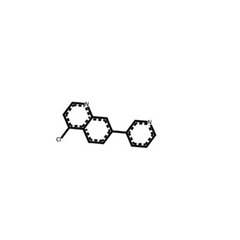 Clc1ccnc2cc(-c3cccnc3)ccc12